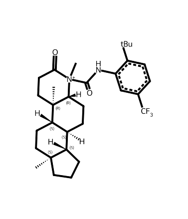 CC(C)(C)c1ccc(C(F)(F)F)cc1NC(=O)[N+]1(C)C(=O)CC[C@@]2(C)[C@H]1CC[C@H]1[C@@H]3CCC[C@@]3(C)CC[C@@H]12